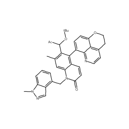 CC(=O)C(OC(C)(C)C)c1c(C)cc2c(ccc(=O)n2Cc2cccc3c2cnn3C)c1-c1ccc2c3c(ccnc13)CCO2